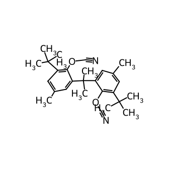 Cc1cc(C(C)(C)C)c(OC#N)c(C(C)(C)c2cc(C)cc(C(C)(C)C)c2OC#N)c1